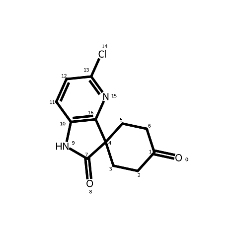 O=C1CCC2(CC1)C(=O)Nc1ccc(Cl)nc12